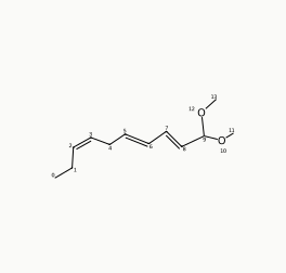 CC/C=C\C/C=C/C=C/C(OC)OC